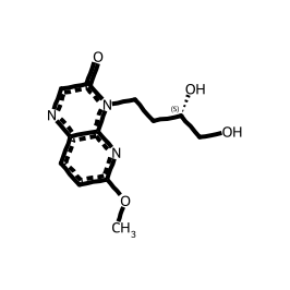 COc1ccc2ncc(=O)n(CC[C@H](O)CO)c2n1